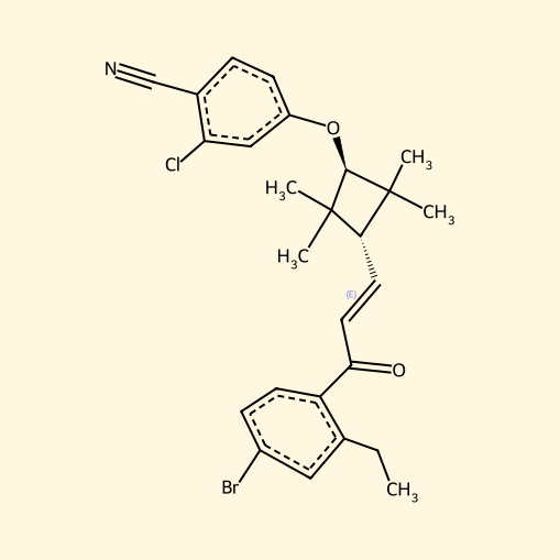 CCc1cc(Br)ccc1C(=O)/C=C/[C@H]1C(C)(C)[C@H](Oc2ccc(C#N)c(Cl)c2)C1(C)C